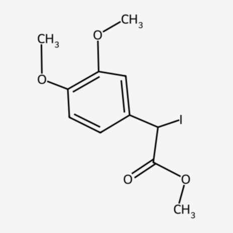 COC(=O)C(I)c1ccc(OC)c(OC)c1